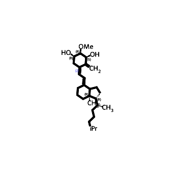 C=C1/C(=C\C=C2CCC[C@@]3(C)C2CC[C@@H]3[C@H](C)CCCC(C)C)C[C@@H](O)[C@@H](OC)[C@H]1O